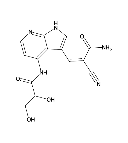 N#C/C(=C/c1c[nH]c2nccc(NC(=O)C(O)CO)c12)C(N)=O